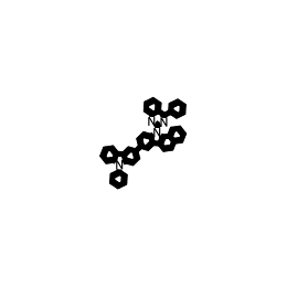 c1ccc(-c2nc(-n3c4ccc(-c5ccc6c(c5)c5ccccc5n6-c5ccccc5)cc4c4ccc5ccccc5c43)nc3ccccc23)cc1